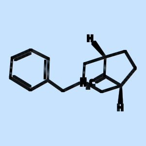 C=C1[C@@H]2CC[C@H]1CN(Cc1ccccc1)C2